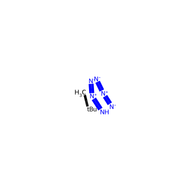 CC(C)(C)C.[N-]=[N+]=N.[N-]=[N+]=[N-]